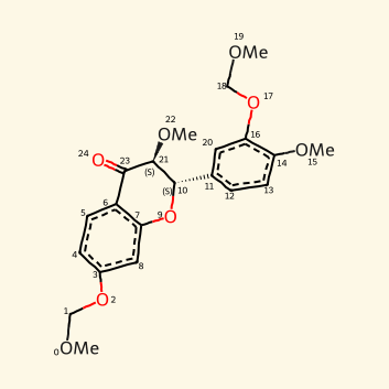 COCOc1ccc2c(c1)O[C@@H](c1ccc(OC)c(OCOC)c1)[C@H](OC)C2=O